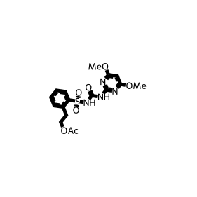 COc1cc(OC)nc(NC(=O)NS(=O)(=O)c2ccccc2CCOC(C)=O)n1